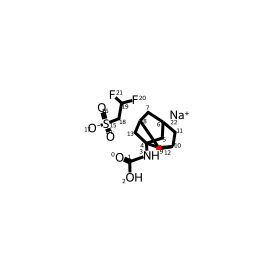 O=C(O)NC12CC3CC(CC(C3)C1)C2.O=S(=O)([O-])CC(F)F.[Na+]